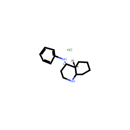 Cl.c1ccc(N[C@H]2CCNC3CCCC[C@H]32)cc1